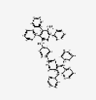 Nc1c(-c2ccccc2)cc(Nc2ccc(-c3ccc4c(-c5ccccc5)c5ccccc5c(-c5ccccc5)c4c3)cc2)c(-c2ccccc2)c1-c1ccccc1